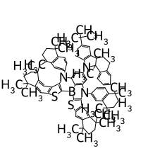 CC(C)(C)c1ccc2c(c1)C1(C)CCc3ccccc3C1(C)N2c1cc2c3c(c1)N1c4ccc5c(c4)C(C)(CCC5(C)C)CC4(C)CCC(C)(C)c5cc6sc(c1c6cc54)B3c1sc3cc4c(cc3c1N2c1ccc2c(c1)C(C)(C)CCC2(C)C)C(C)(C)CCC4(C)C